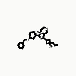 C=CCC1(O)CC(C2=C3C=NC=C[N+]3(N)C(c3cccc(OCc4ccccc4)c3)=N2)C1